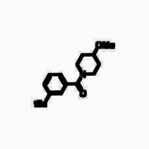 COC1CCN(C(=O)c2cccc(C(C)(C)C)c2)CC1